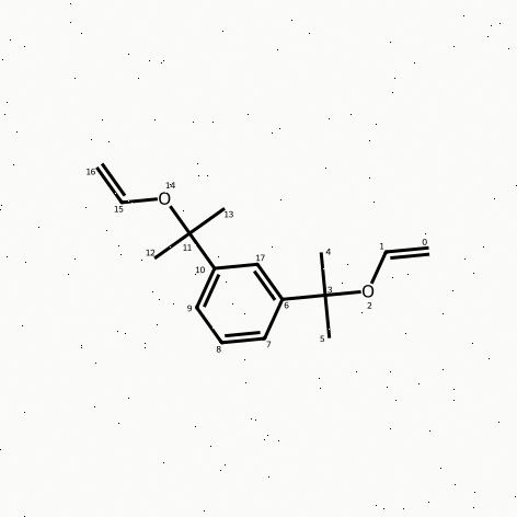 C=COC(C)(C)c1cccc(C(C)(C)OC=C)c1